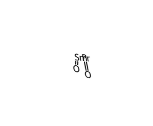 [O]=[Pr].[O]=[Sm]